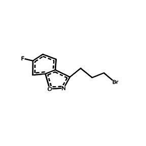 Fc1ccc2c(CCCBr)noc2c1